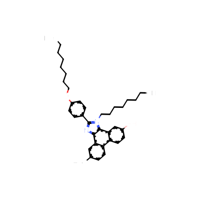 Bc1ccc2c3ccc(C)cc3c3nc(-c4ccc(OCCCCCCCC)cc4)n(CCCCCCCC)c3c2c1